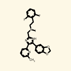 Cc1cccc(-c2nc(CN(I)CCc3c(F)cccc3F)[nH]c2-c2ccc3c(c2)OCO3)n1